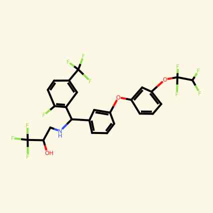 OC(CNC(c1cccc(Oc2cccc(OC(F)(F)C(F)F)c2)c1)c1cc(C(F)(F)F)ccc1F)C(F)(F)F